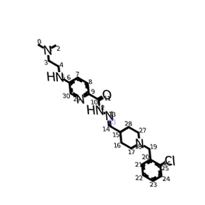 CN(C)CCNc1ccc(C(=O)N/N=C/C2CCN(Cc3ccccc3Cl)CC2)nc1